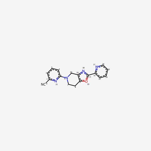 N#Cc1cccc(N2CCc3oc(-c4ccccn4)nc3C2)n1